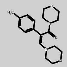 Cc1ccc(C(=CN2CCOCC2)C(=S)N2CCOCC2)cc1